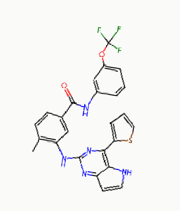 Cc1ccc(C(=O)Nc2cccc(OC(F)(F)F)c2)cc1Nc1nc(-c2cccs2)c2[nH]ccc2n1